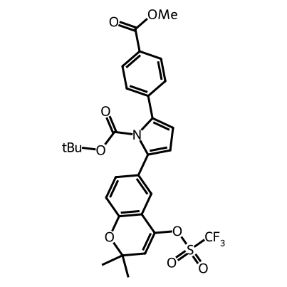 COC(=O)c1ccc(-c2ccc(-c3ccc4c(c3)C(OS(=O)(=O)C(F)(F)F)=CC(C)(C)O4)n2C(=O)OC(C)(C)C)cc1